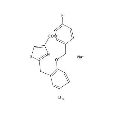 O=C([O-])c1csc(Cc2cc(C(F)(F)F)ccc2OCc2ccc(F)cc2)n1.[Na+]